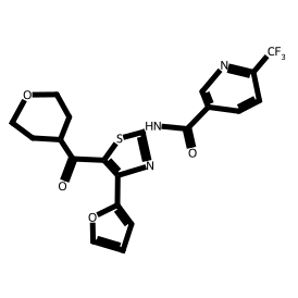 O=C(Nc1nc(-c2ccco2)c(C(=O)C2CCOCC2)s1)c1ccc(C(F)(F)F)nc1